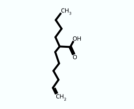 C=CCCCCC(CCCC)C(=O)O